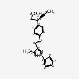 CC#CC(CC(=O)O)c1ccc(OCc2nn(-c3ccccc3)nc2C)cc1